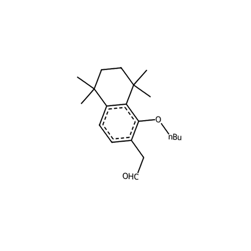 CCCCOc1c(CC=O)ccc2c1C(C)(C)CCC2(C)C